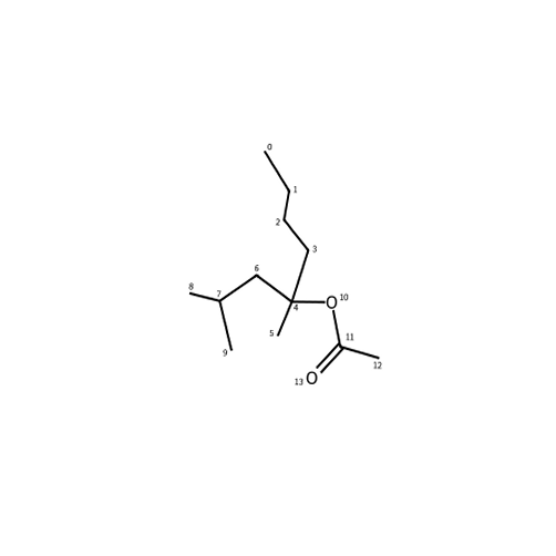 CCCCC(C)(CC(C)C)OC(C)=O